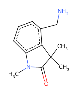 CN1C(=O)C(C)(C)c2c(CN)cccc21